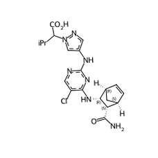 CC(C)C(C(=O)O)n1cc(Nc2ncc(Cl)c(N[C@H]3[C@@H](C(N)=O)[C@@H]4C=C[C@H]3C4)n2)cn1